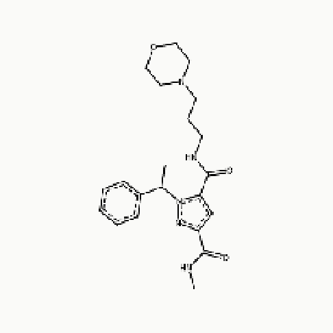 CNC(=O)c1cc(C(=O)NCCCN2CCOCC2)n(C(C)c2ccccc2)n1